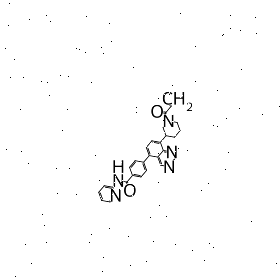 C=CC(=O)N1CCCC(c2ccc(-c3ccc(C(=O)Nc4ccccn4)cc3)c3cncnc23)C1